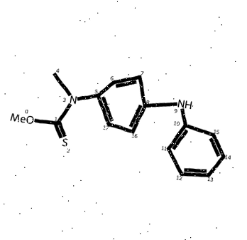 COC(=S)N(C)c1ccc(Nc2ccccc2)cc1